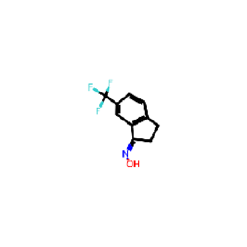 ON=C1CCc2ccc(C(F)(F)F)cc21